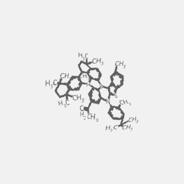 C=C(C)c1cc2c3c(c1)N1c4cc5c(cc4C4(C)CCC(C)(C)c6ccc(c1c64)B3c1c(sc3ccc(C)cc13)N2c1ccc(C(C)(C)C)cc1C)C(C)(C)CCC5(C)C